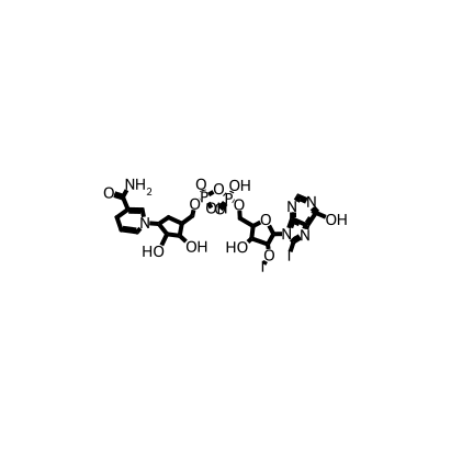 NC(=O)C1=CN(C2CC(COP(=O)(O)OP(=O)(O)OCC3OC(n4c(I)nc5c(O)ncnc54)C(OI)C3O)C(O)C2O)C=CC1